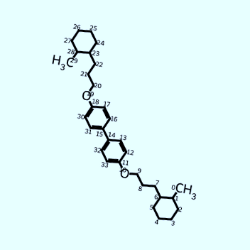 CC1CCCCC1CCCOc1ccc(-c2ccc(OCCCC3CCCCC3C)cc2)cc1